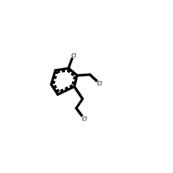 ClCCc1cccc(Cl)c1CCl